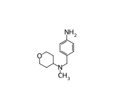 CN(Cc1ccc(N)cc1)C1CCOCC1